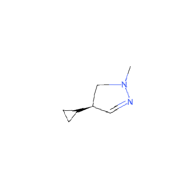 CN1C[C@H](C2CC2)C=N1